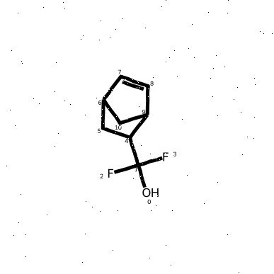 OC(F)(F)C1CC2C=CC1C2